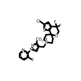 CCOC(=O)c1nn(-c2ncccc2F)cc1CN1CCC2(CC1)OCC(F)(F)c1cc(Cl)sc12